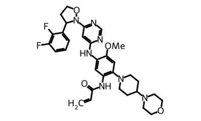 C=CC(=O)Nc1cc(Nc2cc(N3OCCC3c3cccc(F)c3F)ncn2)c(OC)cc1N1CCC(N2CCOCC2)CC1